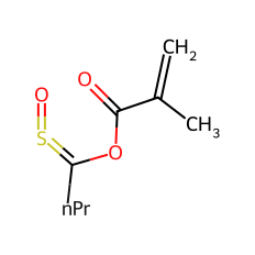 C=C(C)C(=O)OC(CCC)=S=O